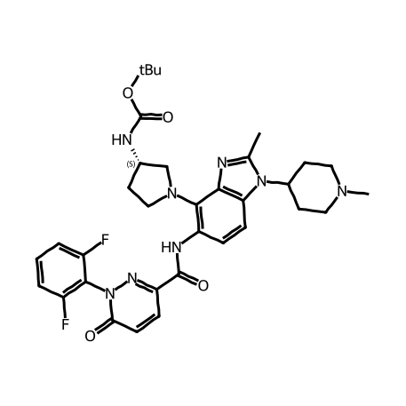 Cc1nc2c(N3CC[C@H](NC(=O)OC(C)(C)C)C3)c(NC(=O)c3ccc(=O)n(-c4c(F)cccc4F)n3)ccc2n1C1CCN(C)CC1